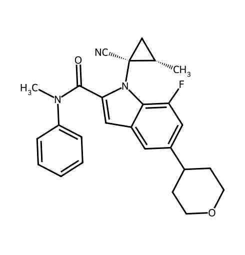 C[C@H]1C[C@]1(C#N)n1c(C(=O)N(C)c2ccccc2)cc2cc(C3CCOCC3)cc(F)c21